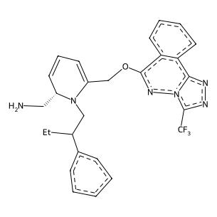 CCC(CN1C(COc2nn3c(C(F)(F)F)nnc3c3ccccc23)=CC=C[C@H]1CN)c1ccccc1